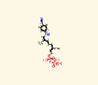 CC(=CCOP(=O)(O)OP(=O)(O)O)CCC=C(C)CNc1ccc(C#N)cc1